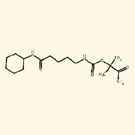 CC(C)(OC(=O)NCCC[CH]C(=O)NC1CCCCC1)C(N)=O